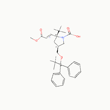 COC(=O)/C=C/[C@@]1(C(C)(C)C)C[C@H](CO[Si](c2ccccc2)(c2ccccc2)C(C)(C)C)CN1C(=O)O